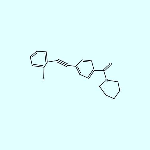 O=C(c1ccc(C#Cc2ccccc2F)cc1)N1CCCCC1